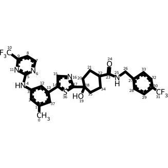 Cc1cc(Nc2nccc(C(F)(F)F)n2)cc(-c2cnc(C3(O)CCC(C(=O)NCc4ccc(C(F)(F)F)cc4)CC3)s2)c1